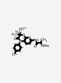 CNC(C)C(=O)Nc1ccc2c(n1)OC(C)(C)C(=O)N2c1ccc(Cl)cc1.Cl